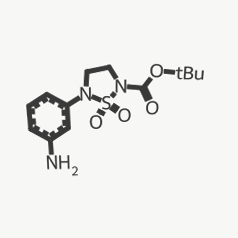 CC(C)(C)OC(=O)N1CCN(c2cccc(N)c2)S1(=O)=O